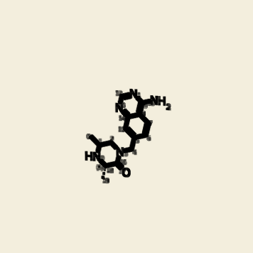 CC1CN(Cc2ccc3c(N)ncnc3c2)C(=O)[C@H](C)N1